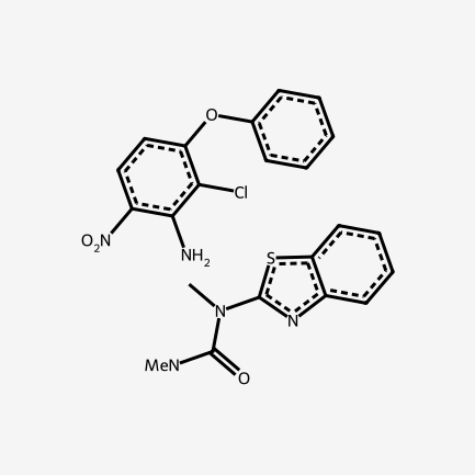 CNC(=O)N(C)c1nc2ccccc2s1.Nc1c([N+](=O)[O-])ccc(Oc2ccccc2)c1Cl